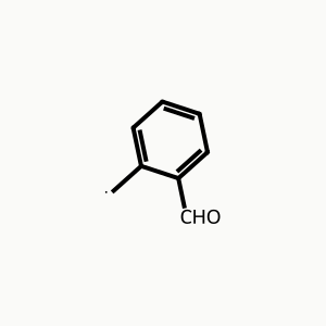 [CH2]c1ccccc1C=O